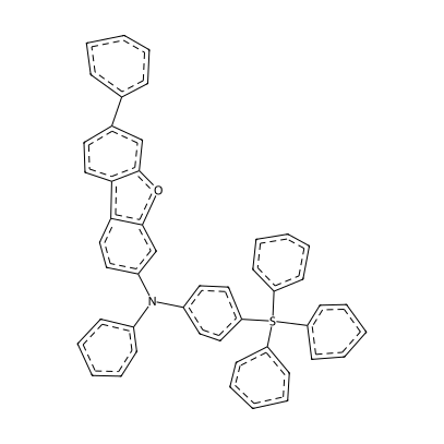 c1ccc(-c2ccc3c(c2)oc2cc(N(c4ccccc4)c4ccc(S(c5ccccc5)(c5ccccc5)c5ccccc5)cc4)ccc23)cc1